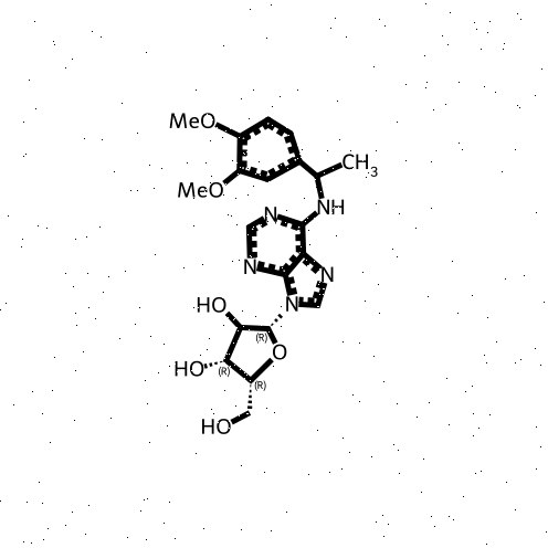 COc1ccc(C(C)Nc2ncnc3c2ncn3[C@@H]2O[C@H](CO)[C@H](O)C2O)cc1OC